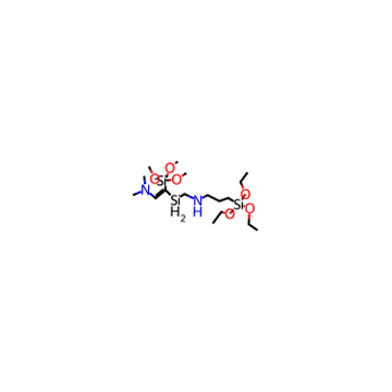 CCO[Si](CCCNC[SiH2]C(=CN(C)C)[Si](OC)(OC)OC)(OCC)OCC